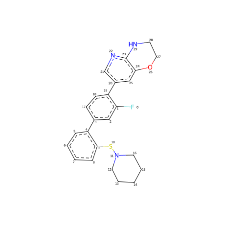 Fc1cc(-c2ccccc2SN2CCCCC2)ccc1-c1cnc2c(c1)OCCN2